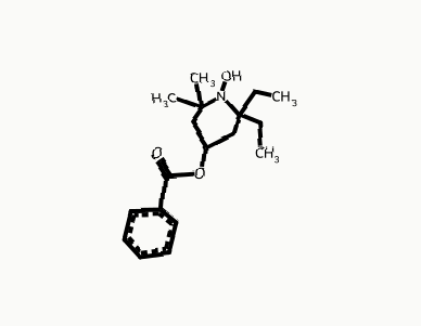 CCC1(CC)CC(OC(=O)c2ccccc2)CC(C)(C)N1O